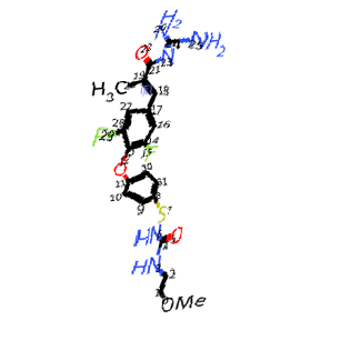 COCCNC(=O)NSc1ccc(Oc2c(F)cc(/C=C(\C)C(=O)N=C(N)N)cc2F)cc1